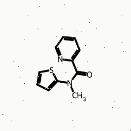 CN(C(=O)c1ccccn1)c1cccs1